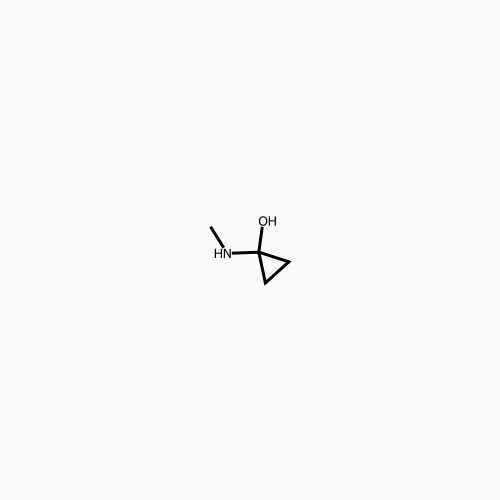 CNC1(O)CC1